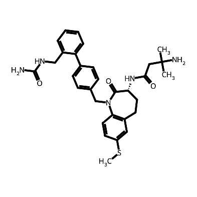 CSc1ccc2c(c1)CC[C@@H](NC(=O)CC(C)(C)N)C(=O)N2Cc1ccc(-c2ccccc2CNC(N)=O)cc1